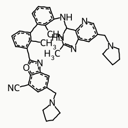 CC1=Nc2cc(CN3CCCC3)cnc2C(Nc2cccc(-c3cccc(-c4nc5cc(CN6CCCC6)cc(C#N)c5o4)c3C)c2C)N1